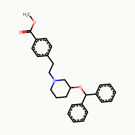 COC(=O)c1ccc(CCN2CCCC(OC(c3ccccc3)c3ccccc3)C2)cc1